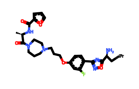 CC(C)C[C@H](N)c1nc(-c2ccc(OCCCN3CCCN(C(=O)[C@H](C)NC(=O)c4ccco4)CC3)cc2F)no1